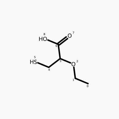 CCOC(CS)C(=O)O